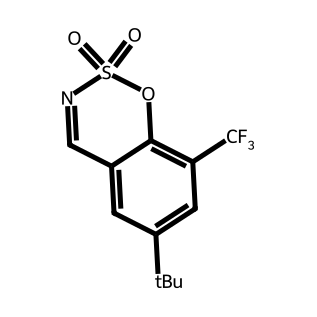 CC(C)(C)c1cc2c(c(C(F)(F)F)c1)OS(=O)(=O)N=C2